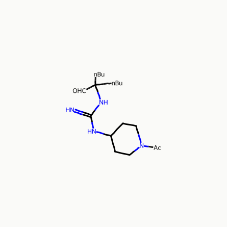 CCCCC(C=O)(CCCC)NC(=N)NC1CCN(C(C)=O)CC1